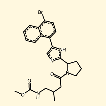 COC(=O)NCC(C)CC(=O)N1CCCC1c1ncc(-c2ccc(Br)c3ccccc23)[nH]1